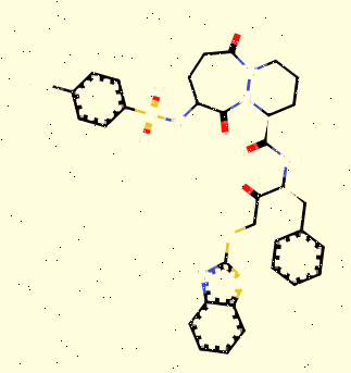 O=C(CSc1nc2ccccc2s1)[C@H](Cc1ccccc1)NC(=O)[C@@H]1CCCN2C(=O)CCC(NS(=O)(=O)c3ccc(C(F)(F)F)cc3)C(=O)N12